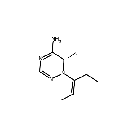 C/C=C(/CC)N1N=CN=C(N)[C@@H]1C